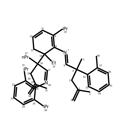 C=C(C)CC(C)(C=NC1=C(C(C)C)C=CCC1(CC)C(C=Nc1c(C(C)C)cccc1C(C)C)(CCC)CC(=C)C)c1ccccc1C